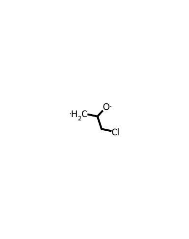 [CH2]C([O])CCl